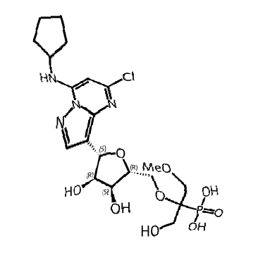 COCC(CO)(OC[C@H]1O[C@@H](c2cnn3c(NC4CCCC4)cc(Cl)nc23)[C@H](O)[C@@H]1O)P(=O)(O)O